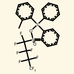 Cc1ccccc1S(OS(=O)(=O)C(F)(F)C(F)(F)C(F)(F)C(F)(F)F)(c1ccccc1)c1ccccc1